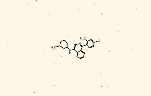 Cc1cc(Cl)ccc1-c1nnc(NC2CCCN(C)C2)c2ccccc12